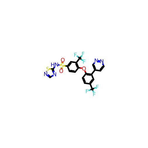 O=S(=O)(Nc1ncns1)c1ccc(Oc2ccc(C(F)(F)F)cc2-c2ccnnc2)c(C(F)(F)F)c1